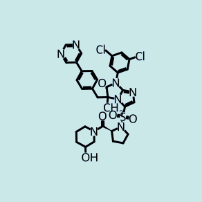 CC1(Cc2ccc(-c3cncnc3)cc2)C(=O)N(c2cc(Cl)cc(Cl)c2)c2ncc(S(=O)(=O)N3CCC[C@H]3C(=O)N3CCCC(O)C3)n21